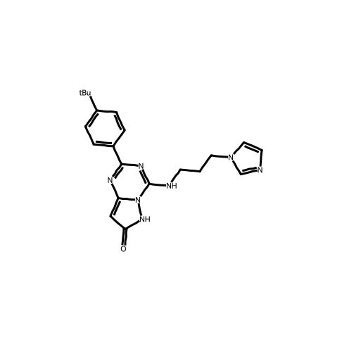 CC(C)(C)c1ccc(-c2nc(NCCCn3ccnc3)n3[nH]c(=O)cc3n2)cc1